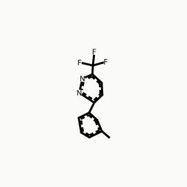 Cc1cccc(-c2ccc(C(F)(F)F)nn2)c1